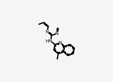 C=N/C(=N\C=C/C)Nc1cc(C)c2ccccc2n1